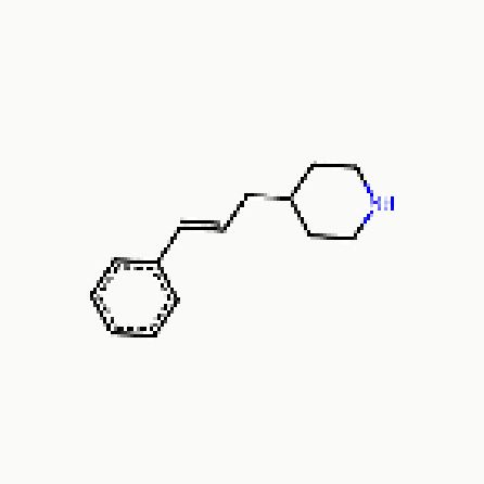 C(=Cc1ccccc1)CC1CCNCC1